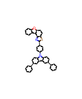 c1ccc(-c2ccc3c(c2)c2cc(-c4ccccc4)ccc2n3-c2ccc(-c3nc4c(ccc5oc6ccccc6c54)s3)cc2)cc1